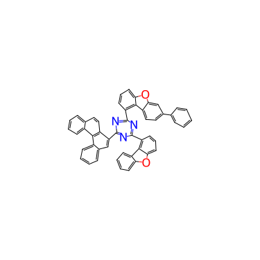 c1ccc(-c2ccc3c(c2)oc2cccc(-c4nc(-c5cc6ccccc6c6c5ccc5ccccc56)nc(-c5cccc6oc7ccccc7c56)n4)c23)cc1